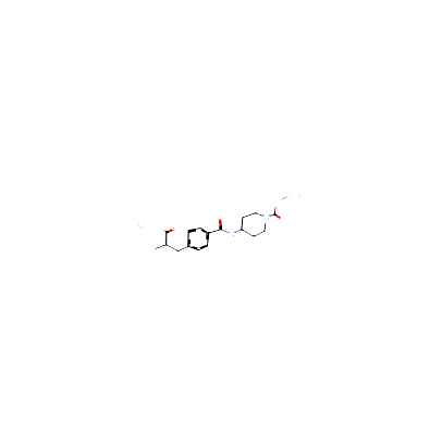 COC(=O)C(C)Cc1ccc(C(=O)NC2CCN(C(=O)OC(C)(C)C)CC2)cc1